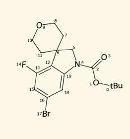 CC(C)(C)OC(=O)N1CC2(CCOCC2)c2c(F)cc(Br)cc21